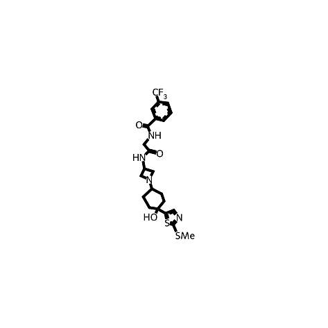 CSc1ncc(C2(O)CCC(N3CC(NC(=O)CNC(=O)c4cccc(C(F)(F)F)c4)C3)CC2)s1